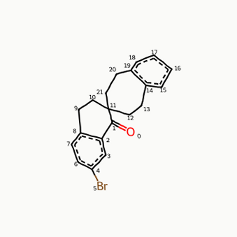 O=C1c2cc(Br)ccc2CCC12CCc1ccccc1CC2